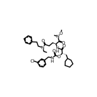 CCN(CCc1ccccc1)C(=O)CC[C@H](NC(=O)[C@H](CC1CCCCC1)OC(=O)NCc1cccc(Cl)c1)C(=O)N(C)OC